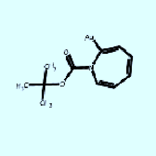 CC(C)(C)OC(=O)N1C=CC=CC=[C]1[Au]